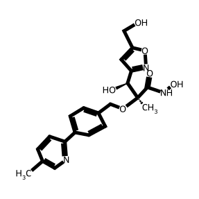 Cc1ccc(-c2ccc(CO[C@](C)(C(=O)NO)[C@@H](O)c3cc(CO)on3)cc2)nc1